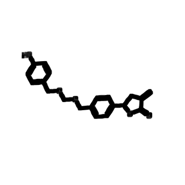 C=C1CC(c2ccc(COCOCc3ccc(O)cc3)cc2)OC1=O